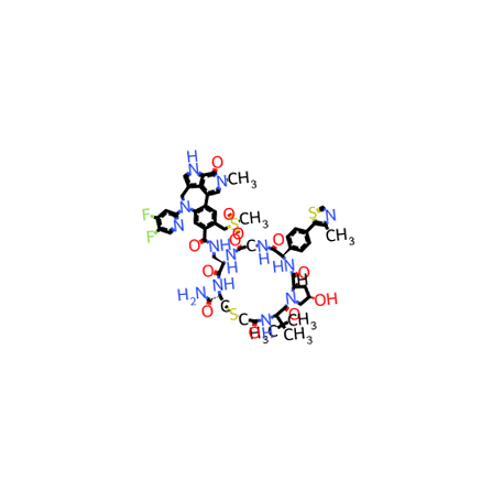 Cc1ncsc1-c1ccc([C@H]2NC(=O)[C@@H]3C[C@@H](O)CN3C(=O)C(C(C)(C)C)NC(=O)CSC[C@H](C(N)=O)NC(=O)[C@@H](CNC(=O)c3cc4c(cc3CS(C)(=O)=O)-c3cn(C)c(=O)c5[nH]cc(c35)CN4c3cc(F)c(F)cn3)NC(=O)CNC2=O)cc1